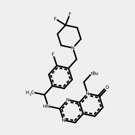 CC(Nc1ncc2ccc(=O)n(CC(C)(C)C)c2n1)c1ccc(CN2CCC(F)(F)CC2)c(F)c1